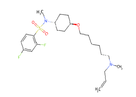 C=CCN(C)CCCCCCO[C@H]1CC[C@H](N(C)S(=O)(=O)c2ccc(F)cc2F)CC1